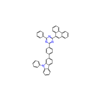 c1ccc(-c2nc(-c3ccc(-c4ccc5c6ccccc6n(-c6ccccc6)c5c4)cc3)nc(-c3cc4ccccc4c4ccccc34)n2)cc1